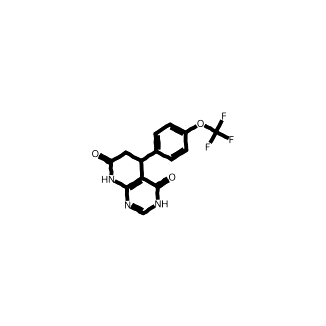 O=C1CC(c2ccc(OC(F)(F)F)cc2)c2c(nc[nH]c2=O)N1